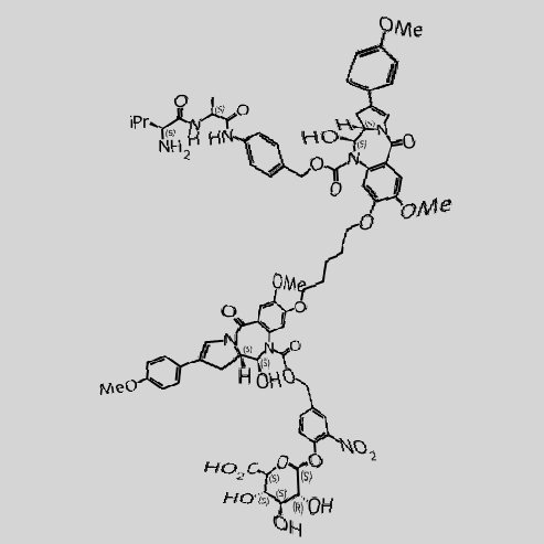 COc1ccc(C2=CN3C(=O)c4cc(OC)c(OCCCCCOc5cc6c(cc5OC)C(=O)N5C=C(c7ccc(OC)cc7)C[C@H]5[C@H](O)N6C(=O)OCc5ccc(O[C@@H]6O[C@H](C(=O)O)[C@@H](O)[C@H](O)[C@H]6O)c([N+](=O)[O-])c5)cc4N(C(=O)OCc4ccc(NC(=O)[C@H](C)NC(=O)[C@@H](N)C(C)C)cc4)[C@@H](O)[C@@H]3C2)cc1